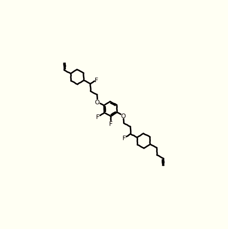 C=CCCC1CCC(C(F)CCOc2ccc(OCCC(F)C3CCC(C=C)CC3)c(F)c2F)CC1